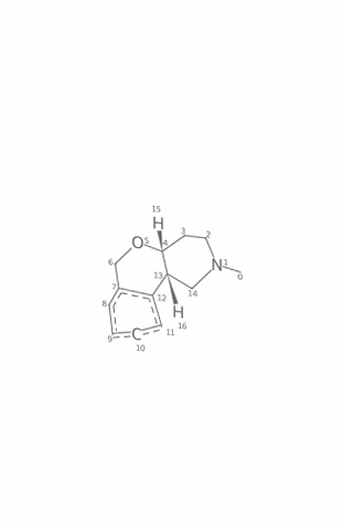 CN1CC[C@H]2OCc3ccccc3[C@H]2C1